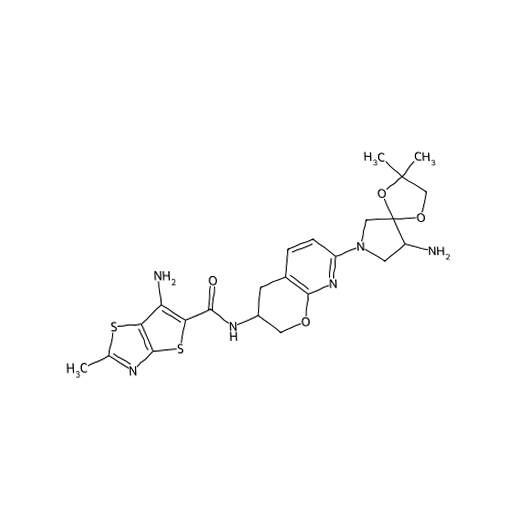 Cc1nc2sc(C(=O)NC3COc4nc(N5CC(N)C6(C5)OCC(C)(C)O6)ccc4C3)c(N)c2s1